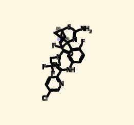 NC1=N[C@](CF)(c2cc(NC(=O)c3ccc(Cl)cn3)ccc2F)C2C[C@]2(/C=C/C(=O)N2CC(F)(F)C2)S1